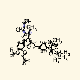 C\C=C(Cl)/C(C[C@H](OC(=O)CCc1ccc(N(C(=O)OC(C)(C)C)S(C)(=O)=O)cc1)c1ccc(OC(F)F)c(OCC2CC2)c1)=C(Cl)\C=N\O